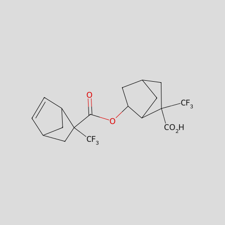 O=C(OC1CC2CC1C(C(=O)O)(C(F)(F)F)C2)C1(C(F)(F)F)CC2C=CC1C2